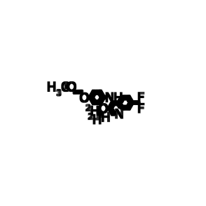 [2H]C([2H])([2H])Oc1cc(OCCOC)ccc1Nc1ccnc2cc(C(F)F)ccc12